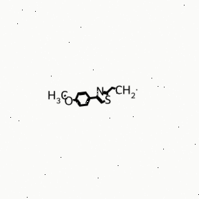 [CH2]Cc1nc(-c2ccc(OC)cc2)cs1